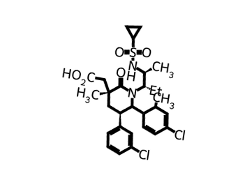 CC[C@@H]([C@H](C)NS(=O)(=O)C1CC1)N1C(=O)[C@@](C)(CC(=O)O)C[C@H](c2cccc(Cl)c2)C1C1C=CC(Cl)=CC1C